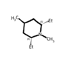 CC[C@@H]1CC(C)C[C@H](CC)N1C